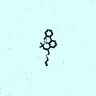 C=CCSCC1=CC(C)(C)Nc2c1cccc2-c1ccccc1C